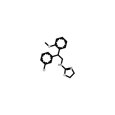 COc1ccccc1C(CNC1=NCCO1)c1cccc(Cl)c1